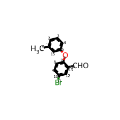 Cc1cccc(Oc2ccc(Br)cc2C=O)c1